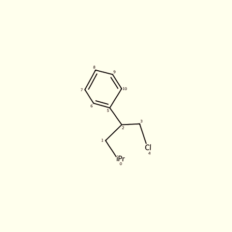 CC(C)CC(CCl)c1ccccc1